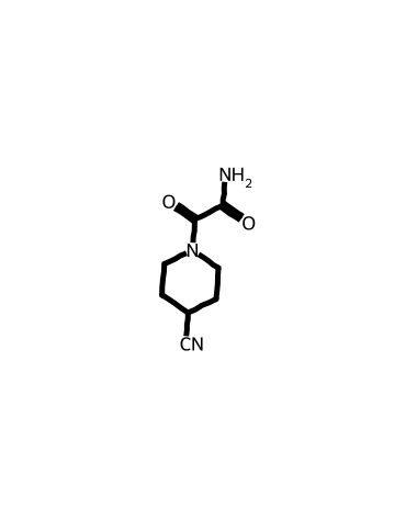 N#CC1CCN(C(=O)C(N)=O)CC1